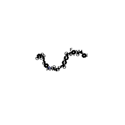 C/C(=N\NC(=O)CC(C)(C)SSCCC(=O)N1CCN(C2CCN(C(=O)NCc3ccc(NC(=O)[C@H]4C[C@@H]4c4cccnc4)cc3F)CC2)CC1)c1ccc(OCCCC(=O)ON2C(=O)CCC2=O)cc1